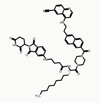 CCCCCCCCC[C@H](NC(=O)CCCNc1ccc2c(c1)C(=O)N(C1CCC(=O)NC1=O)C2=O)C(=O)N1CCN(C(=O)c2ccc3cc(CCNc4ccnc5ccc(C#N)cc45)ccc3c2)CC1